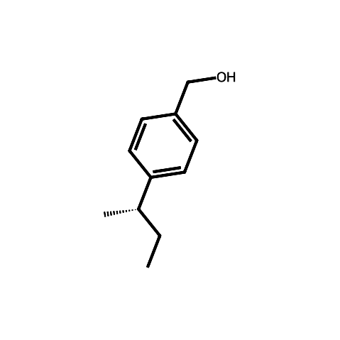 CC[C@H](C)c1ccc(CO)cc1